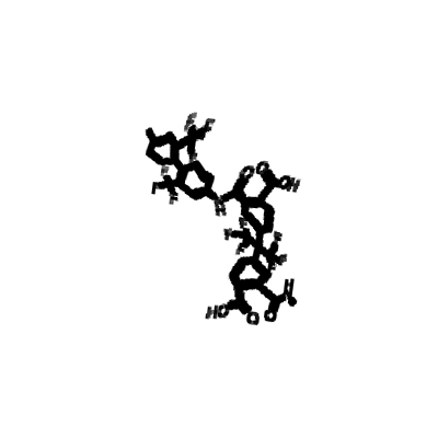 CNC(=O)c1cc(C(c2ccc(C(=O)O)c(C(=O)Nc3ccc(-c4ccc(C)cc4C(F)(F)F)c(C(F)(F)F)c3)c2)(C(F)(F)F)C(F)(F)F)ccc1C(=O)O